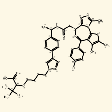 Cc1sc2c(c1C)C(c1ccc(Cl)cc1)=N[C@@H](CC(=O)N[C@H](C)c1ccc(-c3cnn(CCCCOC(C(=O)O)C(C)(C)C)c3)cc1)c1nnc(C)n1-2